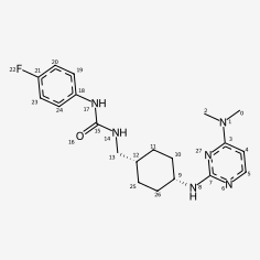 CN(C)c1ccnc(N[C@H]2CC[C@@H](CNC(=O)Nc3ccc(F)cc3)CC2)n1